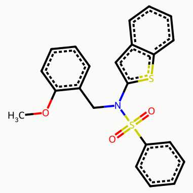 COc1ccccc1CN(c1cc2ccccc2s1)S(=O)(=O)c1ccccc1